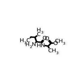 CCC(C)C(N)C(=O)NC(C)C(=O)OC